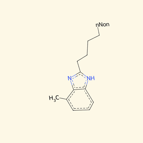 CCCCCCCCCCCCCc1nc2c(C)cccc2[nH]1